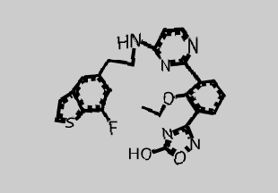 CCOc1c(-c2nccc(NCCc3cc(F)c4sccc4c3)n2)cccc1-c1noc(O)n1